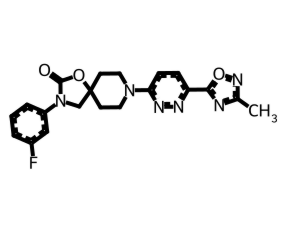 Cc1noc(-c2ccc(N3CCC4(CC3)CN(c3cccc(F)c3)C(=O)O4)nn2)n1